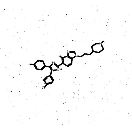 Cc1ccc(-c2nc(-c3ccc4c(ncn4CCCC4CCN(C)CC4)c3C)[nH]c2-c2ccc(Cl)cc2)cc1